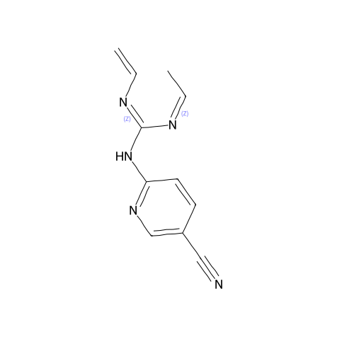 C=C/N=C(\N=C/C)Nc1ccc(C#N)cn1